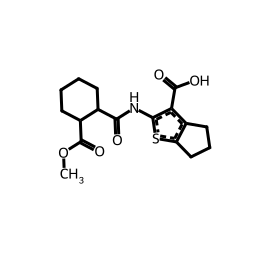 COC(=O)C1CCCCC1C(=O)Nc1sc2c(c1C(=O)O)CCC2